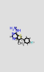 Cc1c(-c2ccc(F)cc2)sc2c(NN)ncnc12